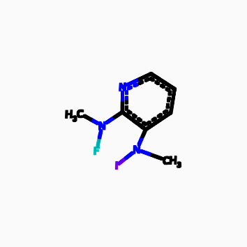 CN(F)c1ncccc1N(C)I